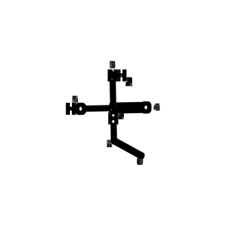 CC[SH](N)(=O)O